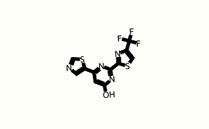 Oc1cc(-c2cncs2)nc(-c2nc(C(F)(F)F)cs2)n1